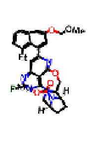 CCc1cccc2cc(OCOC)cc(-c3cc4nc(F)nc5c4c(n3)OCC3[C@H]4CC[C@@H](CN53)N4C(=O)OC(C)(C)C)c12